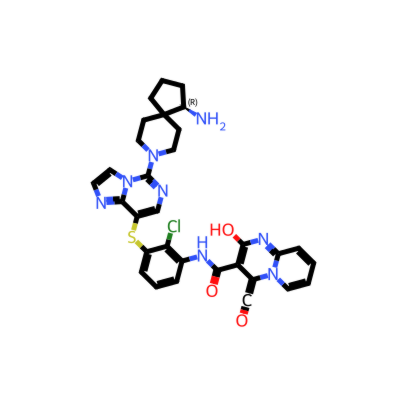 N[C@@H]1CCCC12CCN(c1ncc(Sc3cccc(NC(=O)C4=C(O)N=C5C=CC=CN5C4=C=O)c3Cl)c3nccn13)CC2